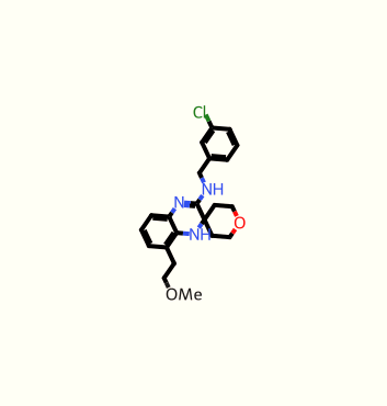 COCCc1cccc2c1NC1(CCOCC1)C(NCc1cccc(Cl)c1)=N2